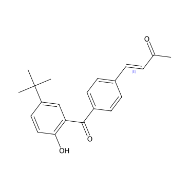 CC(=O)/C=C/c1ccc(C(=O)c2cc(C(C)(C)C)ccc2O)cc1